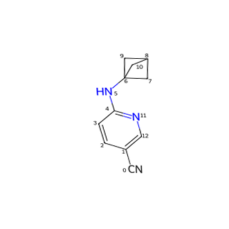 N#Cc1ccc(NC23CC(C2)C3)nc1